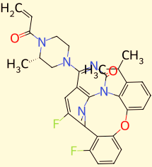 C=CC(=O)N1CCN(c2nc(=O)n3c4nc(c(F)cc24)c2c(F)cccc2oc2cccc(C(C)C)c23)C[C@@H]1C